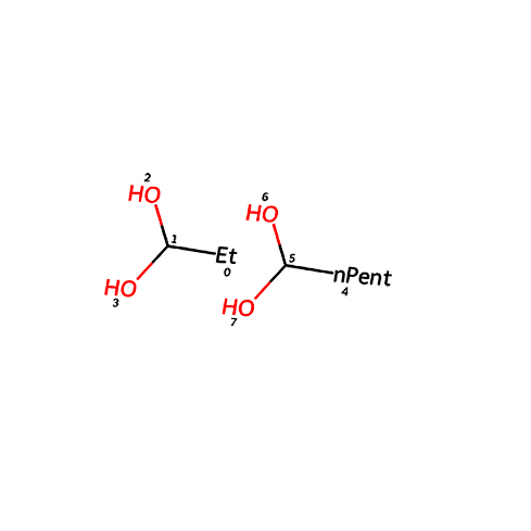 CCC(O)O.CCCCCC(O)O